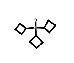 [O][Si](C1CCC1)(C1CCC1)C1CCC1